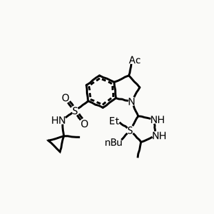 CCCCS1(CC)C(C)NNC1N1CC(C(C)=O)c2ccc(S(=O)(=O)NC3(C)CC3)cc21